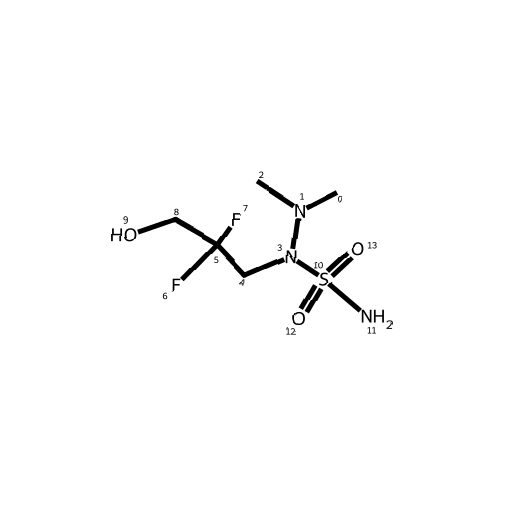 CN(C)N(CC(F)(F)CO)S(N)(=O)=O